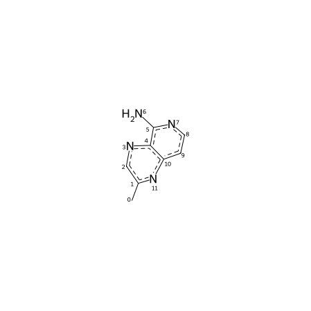 Cc1cnc2c(N)nccc2n1